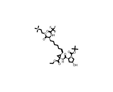 CCOC(=O)[C@@]1(NC(=O)[C@@H]2C[C@@H](O)CN2C(=O)OC(C)(C)C)C[C@H]1/C=C\CCCCC[C@H](NC(=O)C(F)(F)F)C(=O)OCC[Si](C)(C)C